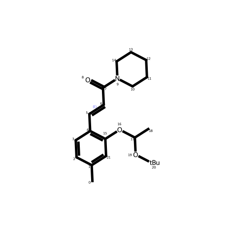 Cc1ccc(/C=C/C(=O)N2CCCCC2)c(OC(C)OC(C)(C)C)c1